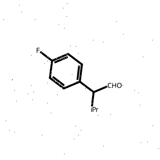 CC(C)C([C]=O)c1ccc(F)cc1